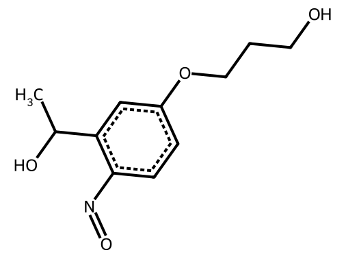 CC(O)c1cc(OCCCO)ccc1N=O